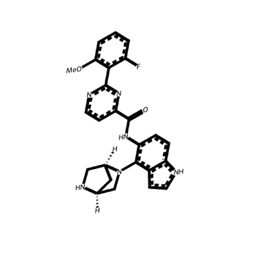 COc1cccc(F)c1-c1nccc(C(=O)Nc2ccc3[nH]ccc3c2N2C[C@@H]3C[C@H]2CN3)n1